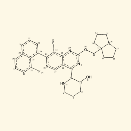 OC1CCCNC1c1nc(OCC23CCCN2CCC3)nc2c(F)c(-c3cccc4cccc(F)c34)ncc12